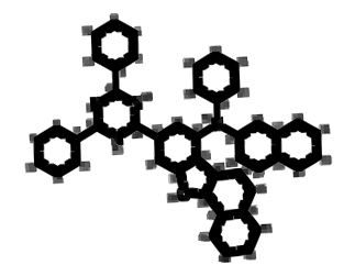 c1ccc(-c2nc(-c3ccccc3)nc(-c3cc(N(c4ccccc4)c4ccc5ccccc5c4)c4c(c3)oc3c5ccccc5ccc34)n2)cc1